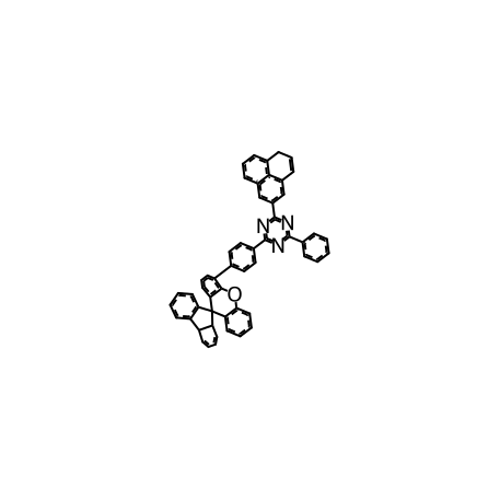 C1=CC2c3ccccc3C3(c4ccccc4Oc4c(-c5ccc(-c6nc(-c7ccccc7)nc(-c7cc8c9c(cccc9c7)CC=C8)n6)cc5)cccc43)C2C=C1